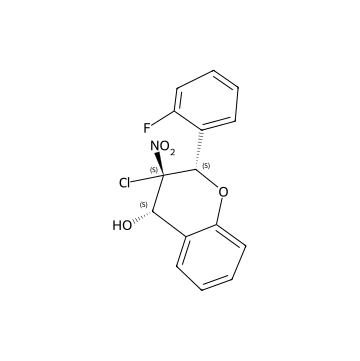 O=[N+]([O-])[C@]1(Cl)[C@@H](O)c2ccccc2O[C@H]1c1ccccc1F